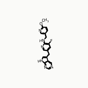 COc1ccc(CNc2ncc(Cc3c[nH]c4ncncc34)cc2F)cn1